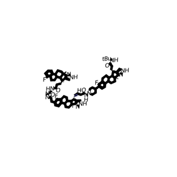 CC(C)(C)NC(=O)CC[C@@H]1c2c[nH]nc2[C@@]2(C)CCC3c4ccc(C5CCN(NC(O)C/C=C\[C@@H]6c7c[nH]nc7[C@@]7(C)CCC8c9ccc(Cc%10nnc(NC(=O)CC[C@@H]%11c%12c[nH]nc%12[C@@]%12(C)CCC%13c%14cccc(F)c%14CCC%13C%11%12)o%10)c(F)c9CCC8C67)CC5)c(F)c4CCC3C12